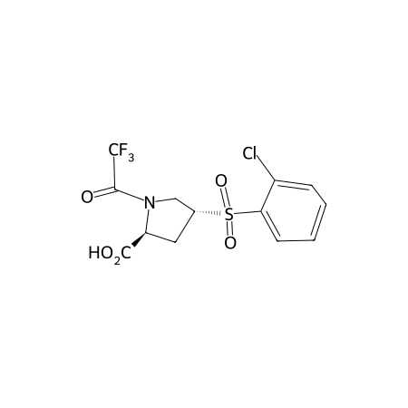 O=C(O)[C@@H]1C[C@@H](S(=O)(=O)c2ccccc2Cl)CN1C(=O)C(F)(F)F